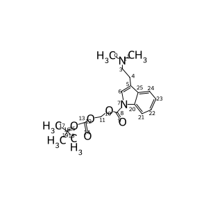 CN(C)CCc1cn(C(=O)OCOC(=O)OC(C)(C)C)c2ccccc12